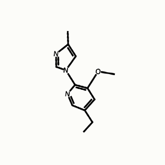 CCc1cnc(-n2cnc(C)c2)c(OC)c1